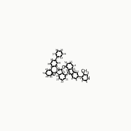 Cc1cnccc1-c1ccc2c(c1)c1ccccc1n2-c1cccc2c1C(=O)N(c1cc(-c3ccccc3)ccc1-c1ccccc1)C2=O